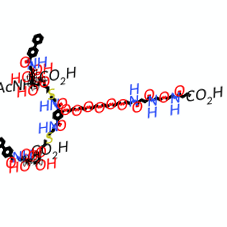 CC(=O)N[C@H]1[C@H]([C@H](O)[C@H](O)CNC(=O)c2ccc(-c3ccccc3)cc2)O[C@@](OCCCSCCNC(=O)c2ccc(C(=O)NCCSCCCO[C@]3(C(=O)O)C[C@H](O)C[C@H]([C@H](O)[C@H](O)CNC(=O)c4ccc(-c5ccccc5)cc4)O3)cc2OCCOCCOCCOCCOCCOCCNC(=O)CCC(=O)NCCOCCNC(=O)CCC(=O)O)(C(=O)O)C[C@@H]1O